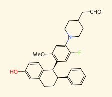 COc1cc(N2CCC(CC=O)CC2)c(F)cc1[C@@H]1c2ccc(O)cc2CC[C@@H]1c1ccccc1